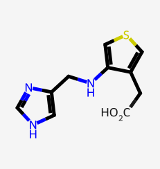 O=C(O)Cc1cscc1NCc1c[nH]cn1